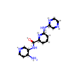 Nc1ccncc1NC(=O)c1cccc(Nc2cnccn2)n1